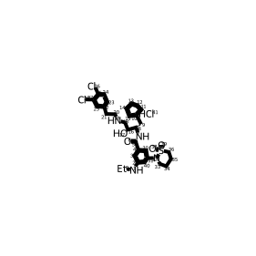 CCNc1cc(C(=O)N[C@@H](Cc2ccccc2)[C@H](O)CNCCc2ccc(Cl)c(Cl)c2)cc(N2CCCCS2(=O)=O)c1.Cl